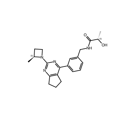 C[C@H](O)C(=O)NCc1cccc(-c2nc(N3CC[C@@H]3C)nc3c2CCC3)c1